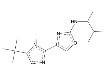 CC(C)C(C)Nc1nc(-c2ncc(C(C)(C)C)[nH]2)co1